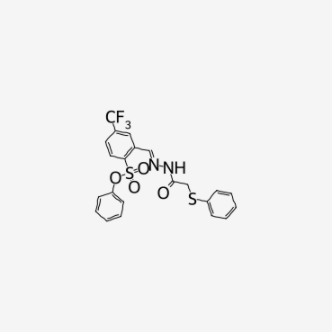 O=C(CSc1ccccc1)NN=Cc1cc(C(F)(F)F)ccc1S(=O)(=O)Oc1ccccc1